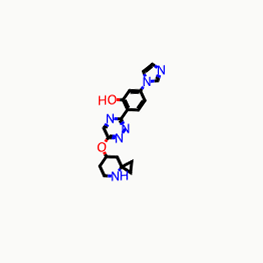 Oc1cc(-n2ccnc2)ccc1-c1ncc(OC2CCNC3(CC3)C2)nn1